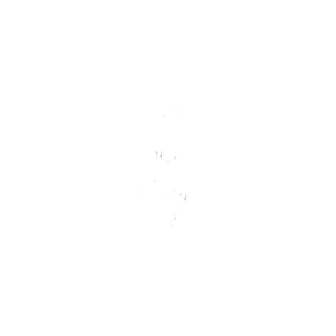 O=C[C@@H]1CCCN1C(=O)CCC(=O)N(CCc1ccccc1)Cc1ccccc1